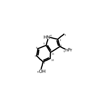 CCCc1c(C)[nH]c2ccc(O)cc12